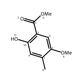 COC(=O)c1cc(OC)c(C)cc1O